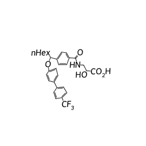 CCCCCCC(Oc1ccc(-c2ccc(C(F)(F)F)cc2)cc1)c1ccc(C(=O)NCC(O)C(=O)O)cc1